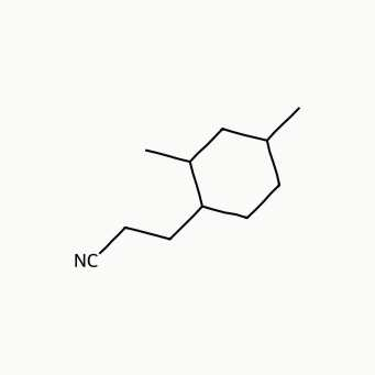 CC1CCC(CCC#N)C(C)C1